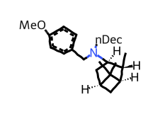 CCCCCCCCCCN(Cc1ccc(OC)cc1)[C@@H]1C[C@@H]2C[C@H]([C@H]1C)C2(C)C